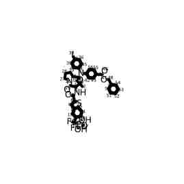 CC(C)(C)C(NC(=O)c1cc2cc(C(F)(F)P(=O)(O)O)ccc2s1)C(=O)N1CCCC1C(=O)N(c1ccc(I)cc1)c1ccc(C(=O)OCc2ccccc2)cc1